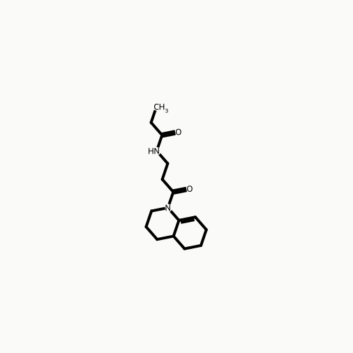 CCC(=O)NCCC(=O)N1CCCC2CCCC=C21